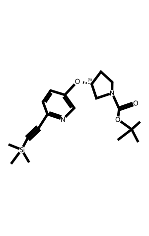 CC(C)(C)OC(=O)N1CC[C@@H](Oc2ccc(C#C[Si](C)(C)C)nc2)C1